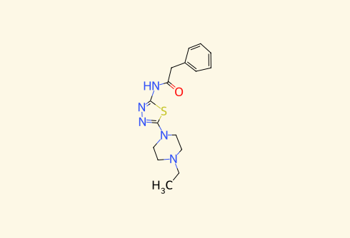 CCN1CCN(c2nnc(NC(=O)Cc3ccccc3)s2)CC1